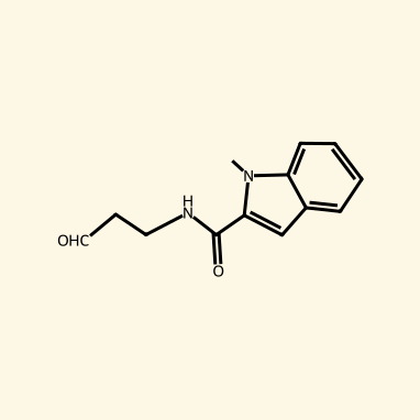 Cn1c(C(=O)NCCC=O)cc2ccccc21